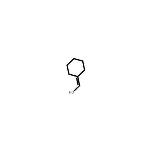 OC=C1CCCCC1